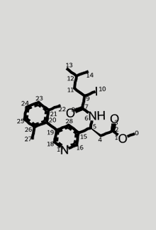 COC(=O)C[C@H](NC(=O)C(I)CC(C)C)c1cncc(-c2c(C)cccc2C)c1